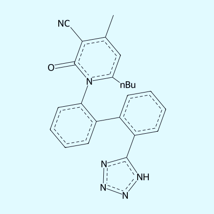 CCCCc1cc(C)c(C#N)c(=O)n1-c1ccccc1-c1ccccc1-c1nnn[nH]1